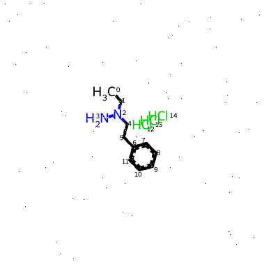 CCN(N)CCc1ccccc1.Cl.Cl.Cl